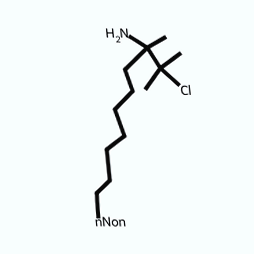 CCCCCCCCCCCCCCCCC(C)(N)C(C)(C)Cl